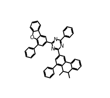 CC1c2ccccc2-c2cc(-c3nc(-c4ccccc4)nc(-c4cc(-c5ccccc5)c5oc6ccccc6c5c4)n3)cc(-c3ccccc3)c2C1C